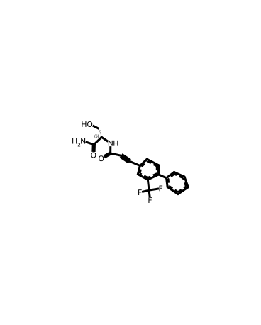 NC(=O)[C@H](CO)NC(=O)C#Cc1ccc(-c2ccccc2)c(C(F)(F)F)c1